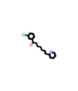 O=C(CCCCC=Cc1ccccn1)c1cccc(Cl)c1